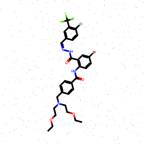 CCOCCN(CCOCC)Cc1ccc(C(=O)Nc2ccc(Br)cc2C(=O)N/N=C\c2ccc(Cl)c(C(F)(F)F)c2)cc1